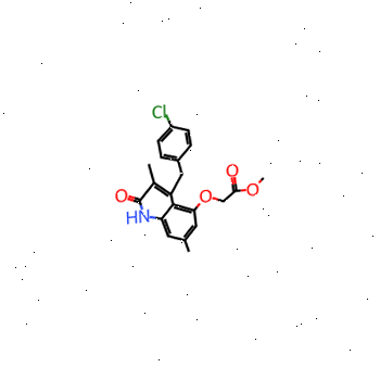 COC(=O)COc1cc(C)cc2[nH]c(=O)c(C)c(Cc3ccc(Cl)cc3)c12